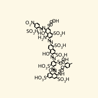 Cc1ccc(OOSNc2c(S(=O)(=O)O)cc3cc(S(=O)(=O)O)cc(O)c3c2N=Nc2cc(SOOO)c(N=Nc3c(S(=O)(=O)O)cc4c(S(=O)(=O)O)c(N=Nc5cc(S(=O)(=O)O)c6cc(SOOO)c(N=Nc7ccc([N+](=O)[O-])cc7S(=O)(=O)O)c(O)c6c5N)ccc4c3O)cc2S(=O)(=O)O)cc1